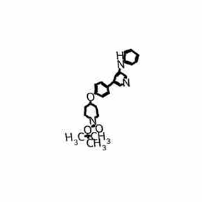 CC(C)(C)OC(=O)N1CCC(Oc2ccc(-c3cncc(Nc4ccccc4)c3)cc2)CC1